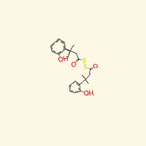 CC(C)(CC(=O)SSC(=O)CC(C)(C)c1ccccc1O)c1ccccc1O